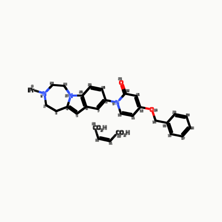 CC(C)N1CCc2cc3cc(-n4ccc(OCc5ccccc5)cc4=O)ccc3n2CC1.O=C(O)/C=C\C(=O)O